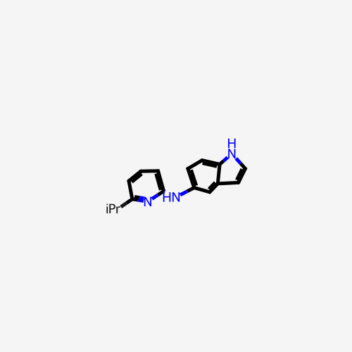 CC(C)c1cccc(Nc2ccc3[nH]ccc3c2)n1